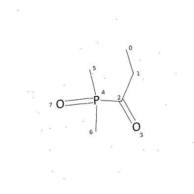 CCC(=O)P(C)(C)=O